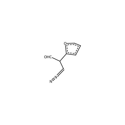 [N-]=[N+]=CC(C=O)c1ccco1